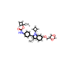 CC1(OC(=O)Nc2ccc(-c3c(C#N)c4ccc(OCC5COCO5)cc4n3C3CCC3)cc2)CCC1